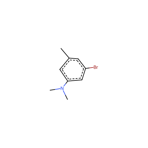 Cc1cc(Br)cc(N(C)C)c1